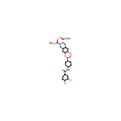 COC(=O)[C@@H]1Cc2cc3c(cc2CN1C(=O)OC(C)(C)C)OC(c1ccc(NC(=O)c2ccc(Cl)c(Cl)c2)cc1)CO3